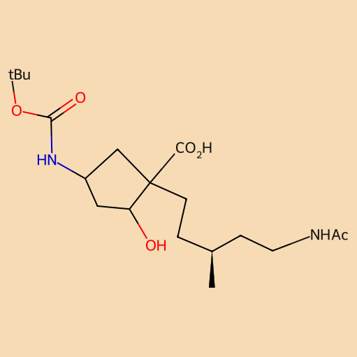 CC(=O)NCC[C@@H](C)CCC1(C(=O)O)CC(NC(=O)OC(C)(C)C)CC1O